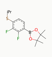 CC(C)Sc1ccc(B2OC(C)(C)C(C)(C)O2)c(F)c1F